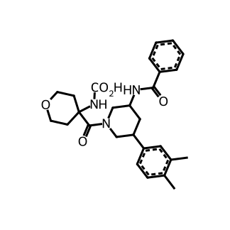 Cc1ccc(C2CC(NC(=O)c3ccccc3)CN(C(=O)C3(NC(=O)O)CCOCC3)C2)cc1C